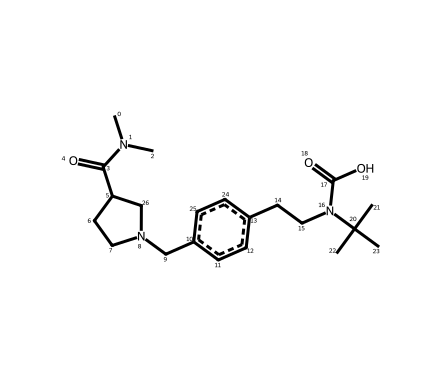 CN(C)C(=O)C1CCN(Cc2ccc(CCN(C(=O)O)C(C)(C)C)cc2)C1